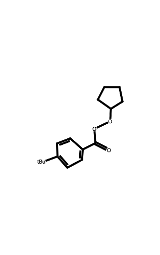 CC(C)(C)c1ccc(C(=O)OO[C]2CCCC2)cc1